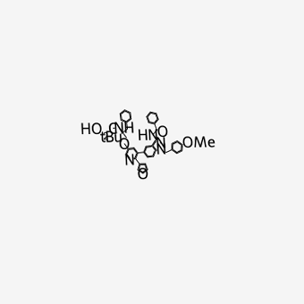 COc1ccc(Cn2nc(NC(=O)c3ccccc3)c3cc(-c4cc(OC[C@@](Cc5ccccc5)(NC(=O)O)C(C)(C)C)cnc4-c4ccoc4)ccc32)cc1